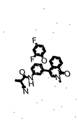 C=C(C#N)C(=O)Nc1ccc(Oc2ccc(F)cc2F)c(-c2cn(C)c(=O)c3ccccc23)c1